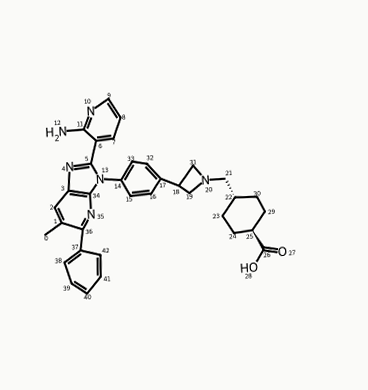 Cc1cc2nc(-c3cccnc3N)n(-c3ccc(C4CN(C[C@H]5CC[C@H](C(=O)O)CC5)C4)cc3)c2nc1-c1ccccc1